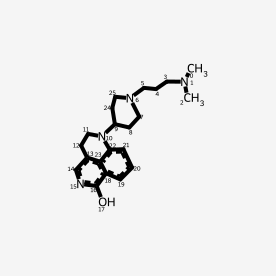 CN(C)CCCN1CCC(N2CCc3cnc(O)c4cccc2c34)CC1